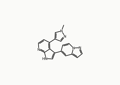 Cn1cc(-c2ccnc3[nH]cc(-c4ccn5nccc5c4)c23)cn1